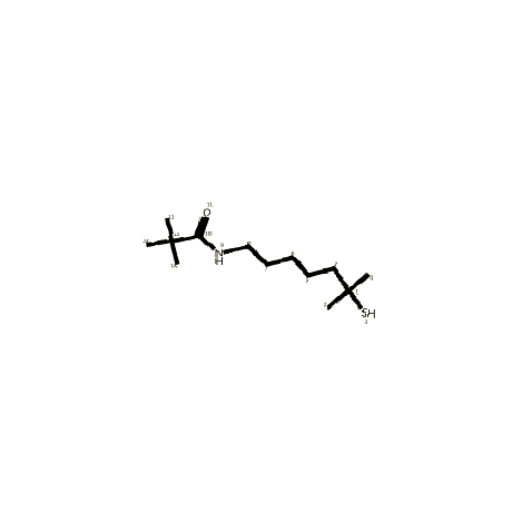 CC(C)(S)CCCCCNC(=O)C(C)(C)C